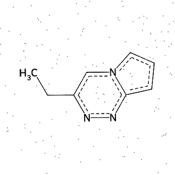 CCc1cn2cccc2nn1